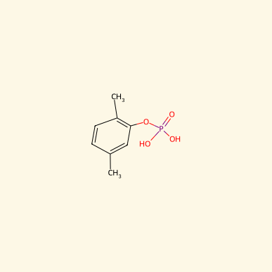 Cc1ccc(C)c(OP(=O)(O)O)c1